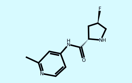 Cc1cc(NC(=O)[C@@H]2C[C@@H](F)CN2)ccn1